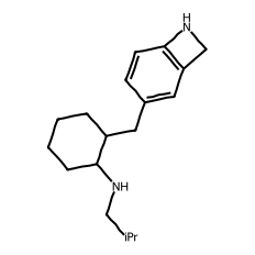 CC(C)CNC1CCCCC1Cc1ccc2c(c1)CN2